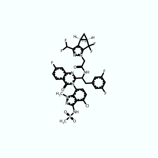 Cn1nc(NS(C)(=O)=O)c2c(Cl)ccc(-n3c(C(Cc4cc(F)cc(F)c4)NC(=O)Cn4nc(C(F)F)c5c4C(F)(F)[C@@H]4C[C@H]54)nc4cc(F)ccc4c3=O)c21